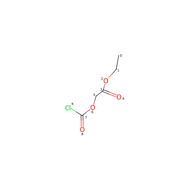 CCOC(=O)COC(=O)Cl